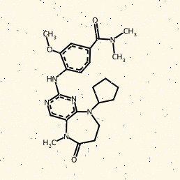 COc1cc(C(=O)N(C)C)ccc1Nc1ncc2c(n1)N(C1CCCC1)CCC(=O)N2C